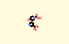 COC(OC)c1cncc([C@H]2CN(C(=O)O)CCC2=O)c1